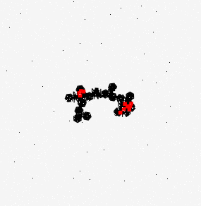 Cc1nc(C)nc(-c2ccc3c4ccccc4n(-c4ccc(-c5ccc6c7cc(Cc8nc(C)nc(-c9ccc%10c(c9)c9ccccc9n%10-c9ccc(-c%10ccc%11c%12ccccc%12n(-c%12ccccc%12)c%11c%10)cc9-c9nc(-c%10ccccc%10)nc(-c%10ccccc%10)n9)n8)ccc7n(-c7ccccc7)c6c5)cc4-c4nc(-c5ccccc5)nc(-c5ccccc5)n4)c3c2)n1